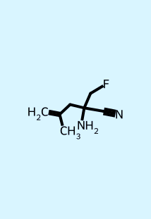 C=C(C)CC(N)(C#N)CF